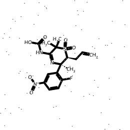 C=CC[C@H]1[C@@](C)(c2cc([N+](=O)[O-])ccc2F)N=C(NC(=O)O)C(C)(C)S1(=O)=O